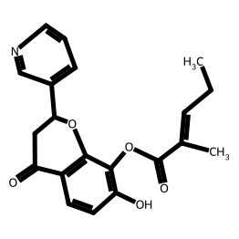 CCC=C(C)C(=O)Oc1c(O)ccc2c1OC(c1cccnc1)CC2=O